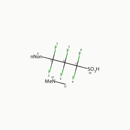 CCCCCCCCCC(F)(F)C(F)(F)C(F)(F)S(=O)(=O)O.CNC